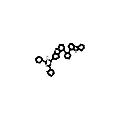 c1ccc(C2=NC(c3ccc4c(c3)sc3cccc(-c5ccccc5-c5cccc6c5sc5ccccc56)c34)NC(c3ccccc3)=N2)cc1